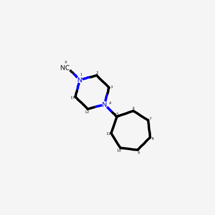 N#CN1CCN(C2CCCCCC2)CC1